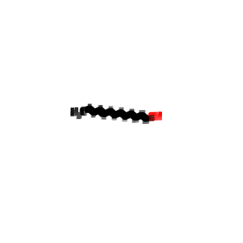 CCCC=CCCCCCCCCO